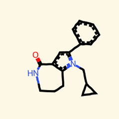 O=C1NCCCc2c1cc(-c1ccccc1)n2CC1CC1